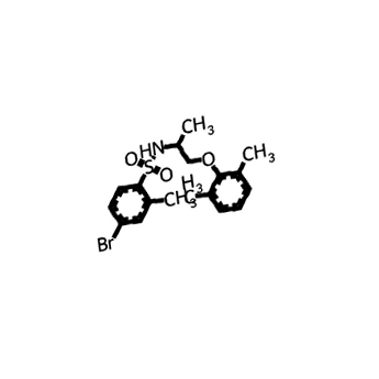 Cc1cc(Br)ccc1S(=O)(=O)NC(C)COc1c(C)cccc1C